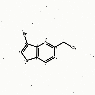 ClCc1ccc2scc(Br)c2n1